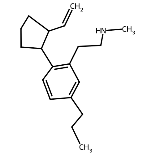 C=CC1CCCC1c1ccc(CCC)cc1CCNC